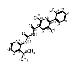 CC(C)c1cncnc1NC(=O)NC(=O)c1cc(Cl)c(-c2ccccc2F)nc1Cl